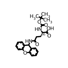 CC(C)(C)OC(=O)N[C@H](CCC(=O)NC1c2ccccc2Oc2ccccc21)C(=O)O